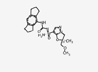 COC[C@]1(C)Cn2ncc([S@@](N)(=O)=NC(=O)Nc3c4c(cc5c3CCC5)CCC4)c2O1